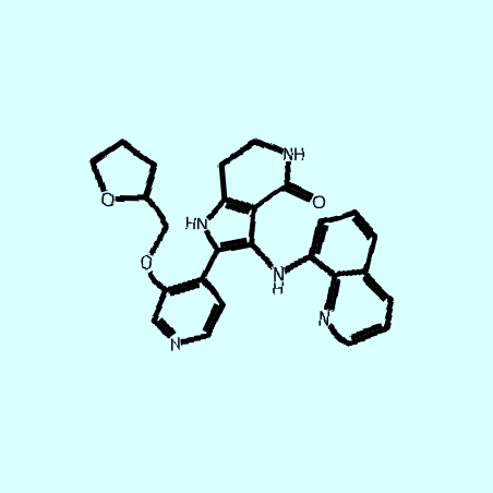 O=C1NCCc2[nH]c(-c3ccncc3OCC3CCCO3)c(Nc3cccc4cccnc34)c21